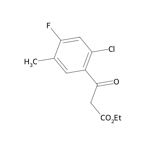 CCOC(=O)CC(=O)c1cc(C)c(F)cc1Cl